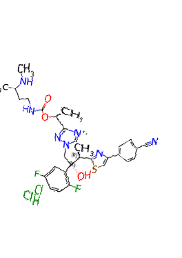 CNC(C)CCNC(=O)OC(C)C1=NN(C[C@](O)(c2cc(F)ccc2F)[C@@H](C)c2nc(-c3ccc(C#N)cc3)cs2)C=[N+]1.Cl.[Cl-]